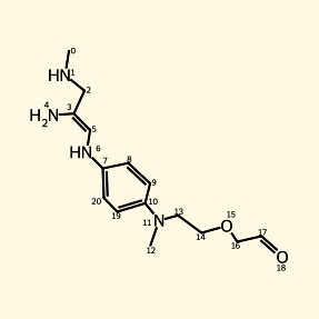 CNC/C(N)=C/Nc1ccc(N(C)CCOCC=O)cc1